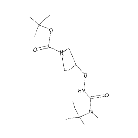 CN(C(=O)NOC1CN(C(=O)OC(C)(C)C)C1)C(C)(C)C